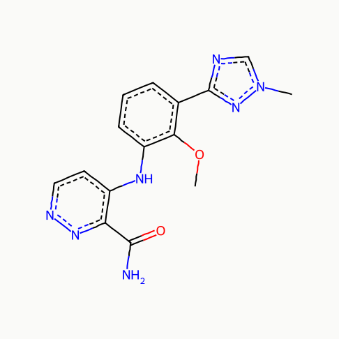 COc1c(Nc2ccnnc2C(N)=O)cccc1-c1ncn(C)n1